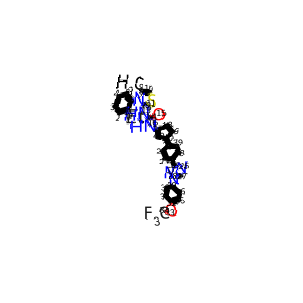 CCc1ccccc1N1C(C)=CSC1NC(=O)NC1CCC(c2ccc(-c3ncn(-c4ccc(OC(F)(F)F)cc4)n3)cc2)C1